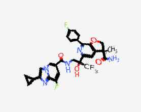 C[C@]1(C(N)=O)COc2c1cc(C(O)(CNC(=O)c1cc(F)c3nc(C4CC4)cn3c1)C(F)(F)F)nc2-c1ccc(F)cc1